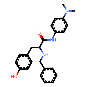 CN(C)c1ccc(NC(=O)[C@H](Cc2ccc(O)cc2)NCc2ccccc2)cc1